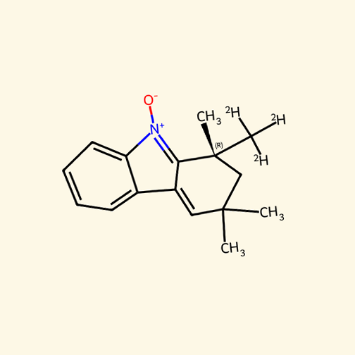 [2H]C([2H])([2H])[C@]1(C)CC(C)(C)C=C2C1=[N+]([O-])c1ccccc12